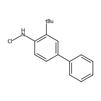 CC(C)(C)c1cc(-c2ccccc2)ccc1NCl